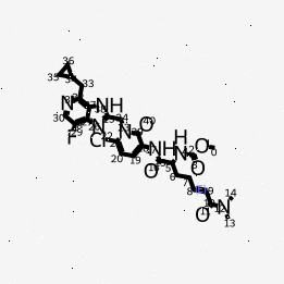 COC(=O)NC(CC/C=C/C(=O)N(C)C)C(=O)Nc1ccc(Cl)n(Cc2nc3c(F)cnc(CC4CC4)c3[nH]2)c1=O